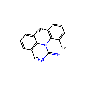 CC(C)c1cccc(C(C)C)c1N(C(=N)N)c1c(C(C)C)cccc1C(C)C